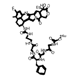 CC[C@@]1(O)C(=O)OCc2c1cc1n(c2=O)Cc2c-1nc1cc(F)c(C)c3c1c2[C@@H](NC(=O)NCCNC(=O)CNC(=O)[C@H](Cc1ccccc1)NC(=O)CNC(=O)CNC(=O)OC(C)(C)C)CC3